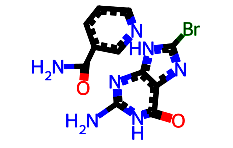 NC(=O)c1cccnc1.Nc1nc2[nH]c(Br)nc2c(=O)[nH]1